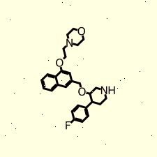 Fc1ccc(C2CCNCC2OCc2cc(OCCN3CCOCC3)c3ccccc3c2)cc1